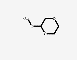 CCCCOC1COCCO1